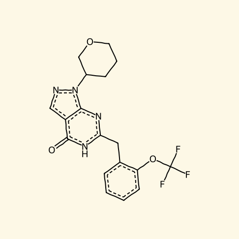 O=c1[nH]c(Cc2ccccc2OC(F)(F)F)nc2c1cnn2C1CCCOC1